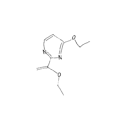 C=C(OCC)c1nccc(OCC)n1